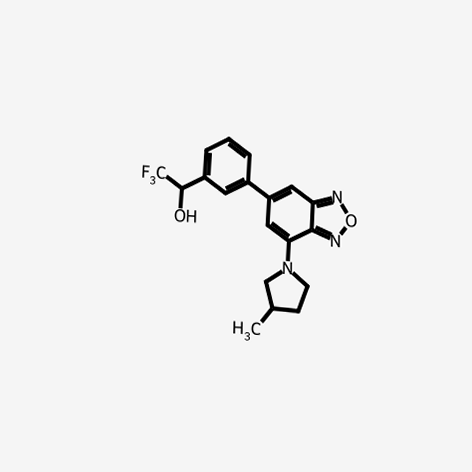 CC1CCN(c2cc(-c3cccc(C(O)C(F)(F)F)c3)cc3nonc23)C1